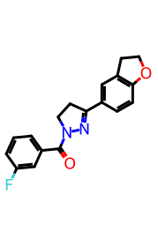 O=C(c1cccc(F)c1)N1CCC(c2ccc3c(c2)CCO3)=N1